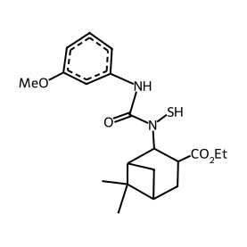 CCOC(=O)C1CC2CC(C1N(S)C(=O)Nc1cccc(OC)c1)C2(C)C